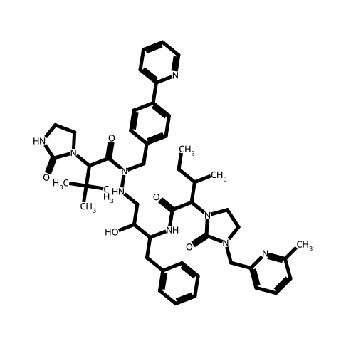 CCC(C)C(C(=O)NC(Cc1ccccc1)C(O)CNN(Cc1ccc(-c2ccccn2)cc1)C(=O)C(N1CCNC1=O)C(C)(C)C)N1CCN(Cc2cccc(C)n2)C1=O